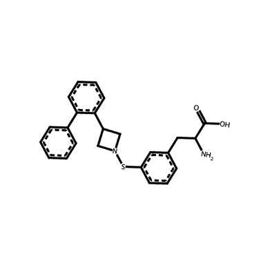 NC(Cc1cccc(SN2CC(c3ccccc3-c3ccccc3)C2)c1)C(=O)O